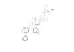 C=CC(=O)N[C@H]1CC[C@@H](NC(=O)/C(C)=C2\NC(=O)N(c3ccnc(-c4ccccc4)c3)c3ccnc(C)c32)C1